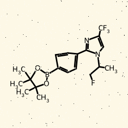 CC(CF)n1cc(C(F)(F)F)nc1-c1ccc(B2OC(C)(C)C(C)(C)O2)cc1